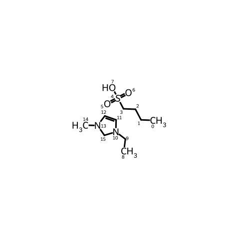 CCCCS(=O)(=O)O.CCN1C=CN(C)C1